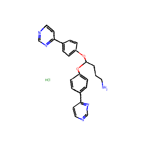 Cl.NCCCC(Oc1ccc(-c2ccncn2)cc1)Oc1ccc(-c2ccncn2)cc1